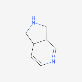 C1=CC2CNCC2C=N1